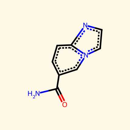 NC(=O)c1ccc2nccn2c1